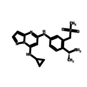 C[C@@H](N)c1ccc(Nc2cc(NC3CC3)n3nccc3n2)cc1CS(C)(=O)=O